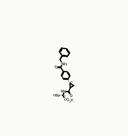 CCCC[C@H](NC(=O)C1C[C@H]1c1ccc(C(=O)NCc2ccccc2)cc1)C(=O)O